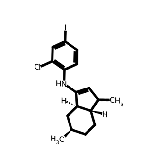 CC1C=C(Nc2ccc(I)cc2Cl)[C@@H]2C[C@H](C)CC[C@@H]12